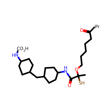 CC(C)C(=O)CCCCCOC(C)(S)C(=O)NC1CCC(CC2CCC(NC(=O)O)CC2)CC1